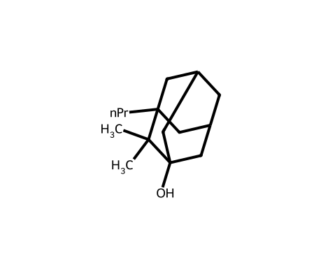 CCCC12CC3CC(CC(O)(C3)C1(C)C)C2